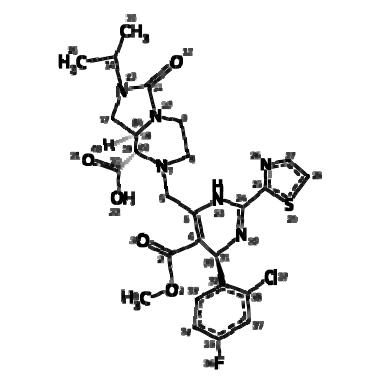 COC(=O)C1=C(CN2CCN3C(=O)N(C(C)C)C[C@@H]3[C@H]2C(=O)O)NC(c2nccs2)=N[C@H]1c1ccc(F)cc1Cl